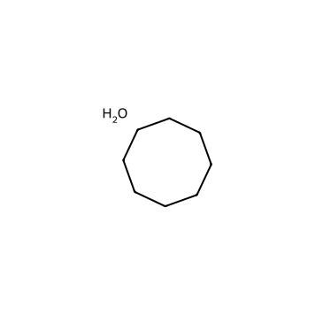 C1CCCCCCC1.O